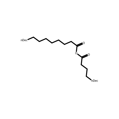 CCCCCCCCCCCCCCCCCC(=O)OC(=O)CCCCCCCCCCCCC